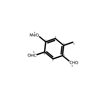 COc1cc(C)c(C=O)cc1C=O